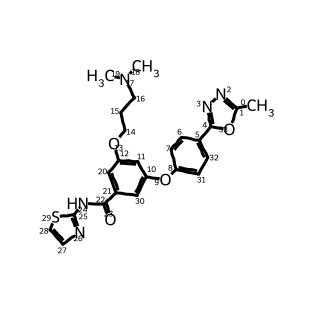 Cc1nnc(-c2ccc(Oc3cc(OCCCN(C)C)cc(C(=O)Nc4nccs4)c3)cc2)o1